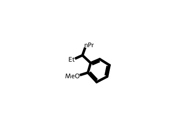 CCCC(CC)c1ccccc1OC